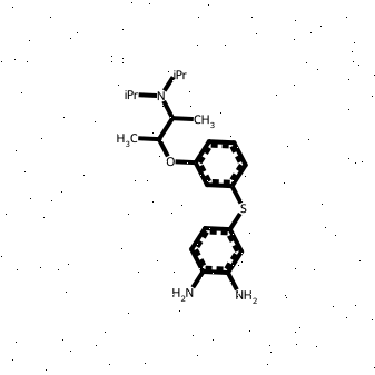 CC(Oc1cccc(Sc2ccc(N)c(N)c2)c1)C(C)N(C(C)C)C(C)C